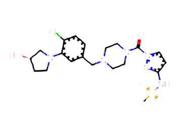 CS(=O)(=O)Nc1ccn(C(=O)N2CCN(Cc3ccc(Cl)c(N4CC[C@@H](O)C4)c3)CC2)n1